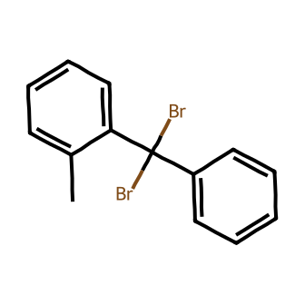 Cc1ccccc1C(Br)(Br)c1ccccc1